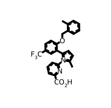 Cc1ccccc1COc1ccc(C(F)(F)F)cc1-c1ccc(C)n1-c1cccc(C(=O)O)n1